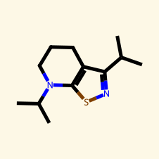 CC(C)c1nsc2c1CCCN2C(C)C